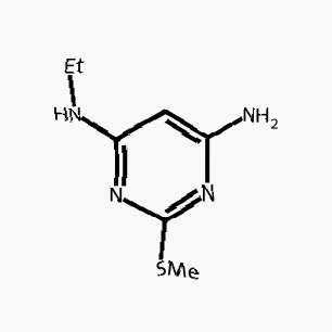 CCNc1cc(N)nc(SC)n1